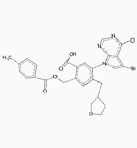 Cc1ccc(C(=O)OCc2cc(CC3CCOC3)c(-n3cc(Br)c4c(Cl)ncnc43)cc2C(=O)O)cc1